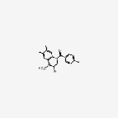 CCC1CN(C(=O)c2ccc(F)cc2)c2cc(C)c(C)cc2N1C(=O)O